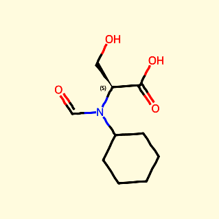 O=CN(C1CCCCC1)[C@@H](CO)C(=O)O